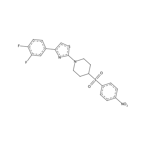 O=[N+]([O-])c1ccc(S(=O)(=O)C2CCN(c3nc(-c4ccc(F)c(F)c4)cs3)CC2)cc1